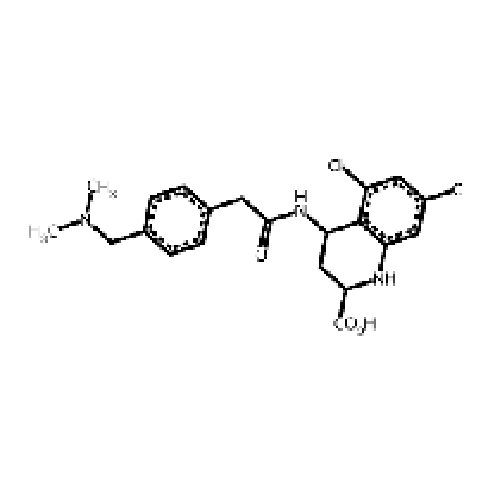 CN(C)Cc1ccc(CC(=O)NC2CC(C(=O)O)Nc3cc(Cl)cc(Cl)c32)cc1